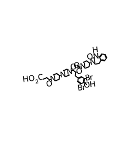 O=C(O)CCC(=O)N1CCC(N2CCN(C(=O)C(Cc3cc(Br)c(O)c(Br)c3)OC(=O)N3CCC(N4CCc5ccccc5NC4=O)CC3)CC2)CC1